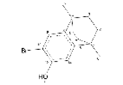 CC12CCC(C)(CC1)c1cc(Br)c(O)cc12